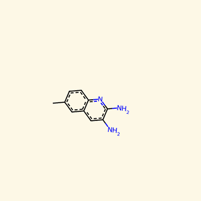 Cc1ccc2nc(N)c(N)cc2c1